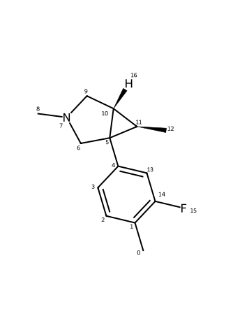 Cc1ccc(C23CN(C)C[C@@H]2[C@H]3C)cc1F